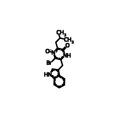 CC(C)Cc1c(=O)[nH]c(Cc2c[nH]c3ccccc23)c(Br)[n+]1[O-]